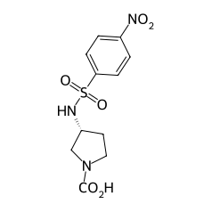 O=C(O)N1CC[C@@H](NS(=O)(=O)c2ccc([N+](=O)[O-])cc2)C1